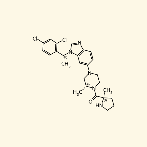 C[C@@H]1CN(c2ccc3ncn([C@H](C)c4ccc(Cl)cc4Cl)c3c2)CCN1C(=O)[C@@]1(C)CCCN1